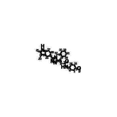 COc1ccc(NC(=O)CSc2nnc(-c3ccc4[nH]c(C)c(C)c4c3)n2Cc2ccccc2)cc1